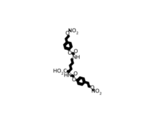 O=C(NCCCCC(NC(=O)Oc1ccc(CCO[N+](=O)[O-])cc1)C(=O)O)Oc1ccc(CCO[N+](=O)[O-])cc1